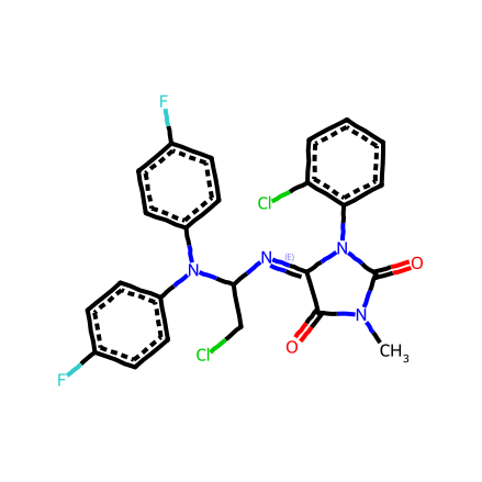 CN1C(=O)/C(=N\C(CCl)N(c2ccc(F)cc2)c2ccc(F)cc2)N(c2ccccc2Cl)C1=O